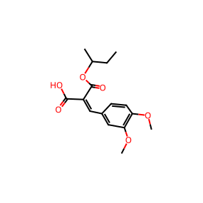 CCC(C)OC(=O)C(=Cc1ccc(OC)c(OC)c1)C(=O)O